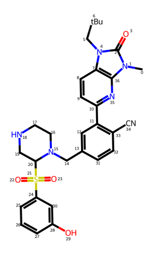 Cn1c(=O)n(CC(C)(C)C)c2ccc(-c3cc(CN4CCNCC4S(=O)(=O)c4cccc(O)c4)ccc3C#N)nc21